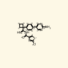 N=C(NC(=O)c1csc(Cl)n1)C1(c2ccc(-c3cnc(N)nc3)cc2)CCC1